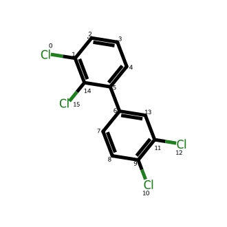 Clc1[c]ccc(-c2ccc(Cl)c(Cl)c2)c1Cl